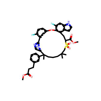 COC(=O)CCc1cccc(C2(C)CCCC(C)(C)CS(=O)(=O)C(C(=O)OC)Cc3c(c(F)cc4[nH]ccc34)Oc3ccc(F)c(c3)-c3ncc2[nH]3)c1